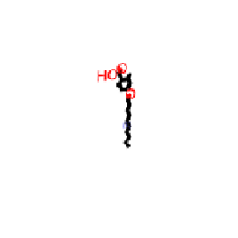 CCCC/C=C/CCCCOc1ccc(C(=O)O)c(C)c1